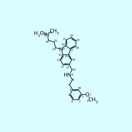 COc1cccc(CCNCc2ccc3c(c2)c2ccccc2n3CCCN(C)C)c1